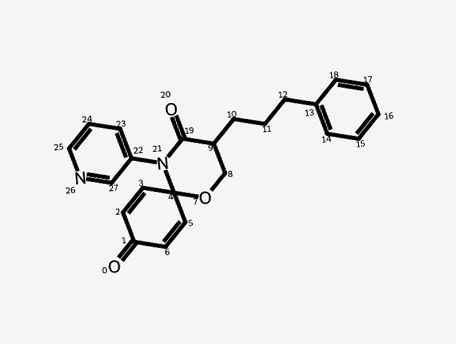 O=C1C=CC2(C=C1)OCC(CCCc1ccccc1)C(=O)N2c1cccnc1